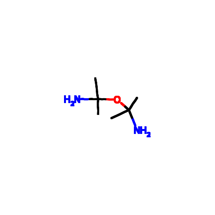 CC(C)(N)OC(C)(C)N